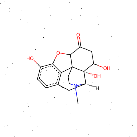 CN1CCC23c4c5ccc(O)c4OC2C(=O)CC(O)[C@@]3(O)[C@H]1C5